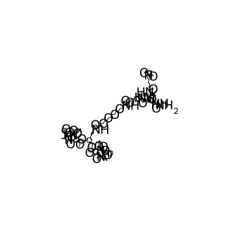 C=C1C[C@H]2C(OC3CCCCO3)N(C(=O)OC(C)(C)C)c3cc(OCc4cc(C#CCNC(=O)CCOCCOCCOCCOCCNC(=O)OCc5ccc(NC(=O)[C@H](CCCNC(N)=O)NC(=O)[C@@H](NC(=O)CCCCCN6C(=O)C=CC6=O)C(C)C)cc5)cc(COc5cc6c(cc5OC)C(=O)N5CC(=C)C[C@H]5[C@H](OC5CCCCO5)N6C(=O)OC(C)(C)C)c4)c(OC)cc3C(=O)N2C1